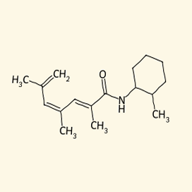 C=C(C)/C=C(C)\C=C(/C)C(=O)NC1CCCCC1C